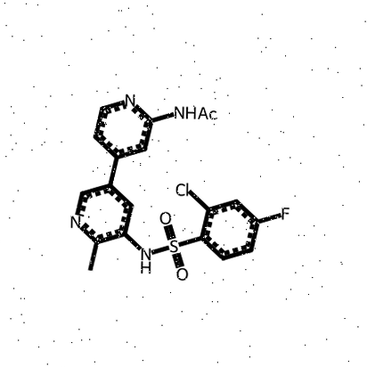 CC(=O)Nc1cc(-c2cnc(C)c(NS(=O)(=O)c3ccc(F)cc3Cl)c2)ccn1